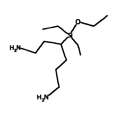 CCO[Si](CC)(CC)C(CCN)CCCN